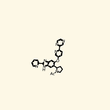 CC(=O)N1CCCC1c1cc2[nH]c(-c3ccccn3)nc2cc1Oc1ccc(-c2cnccn2)nc1